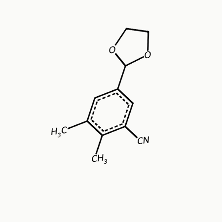 Cc1cc(C2OCCO2)cc(C#N)c1C